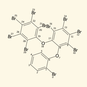 Brc1ccccc1Oc1c(Br)c(Br)c(Br)c(Br)c1Oc1c(Br)c(Br)c(Br)c(Br)c1Br